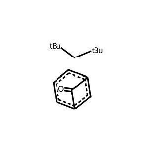 CC(C)(C)CC(C)(C)C.O=C1c2cccc1c2